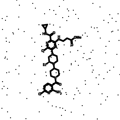 CC[C@H]1CN(c2nc(NCCC(=O)OC)c(C(=O)NC3CC3)nc2Cl)CCN1C1CCN(C(=O)c2ccc(Cl)nc2N)CC1